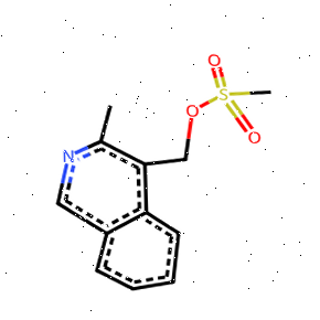 Cc1ncc2ccccc2c1COS(C)(=O)=O